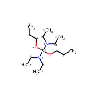 CCCO[Si](OCCC)(N(CC)CC)N(CC)CC